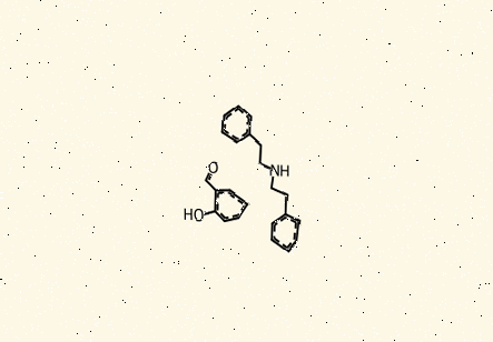 O=Cc1ccccc1O.c1ccc(CCNCCc2ccccc2)cc1